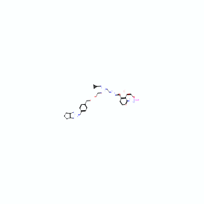 O=C(CCOCCc1ccc(CN2CC3CCCC3C2)cc1)N(CCNC[C@H](O)c1ccc(O)c2[nH]c(=O)ccc12)CC1CC1